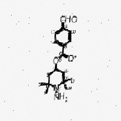 CC1(C)CC(OC(=O)c2ccc(C=O)cc2)CC(C)(C)N1N